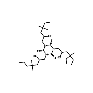 CCCC(C)(C)CC(O)Cn1c(=O)n(CC(O)CC(C)(C)CC)c(=O)n(CC(O)CC(C)(CC)CC)c1=O